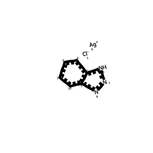 [Ag+].[Cl-].c1ccc2[nH]nnc2c1